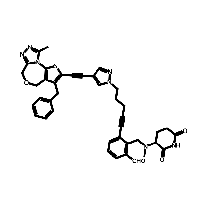 Cc1nnc2n1-c1sc(C#Cc3cnn(CCCC#Cc4cccc(C=O)c4CN(C)C4CCC(=O)NC4=O)c3)c(Cc3ccccc3)c1COC2